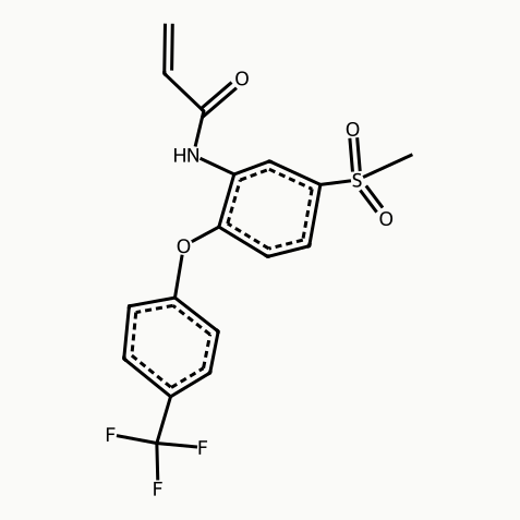 C=CC(=O)Nc1cc(S(C)(=O)=O)ccc1Oc1ccc(C(F)(F)F)cc1